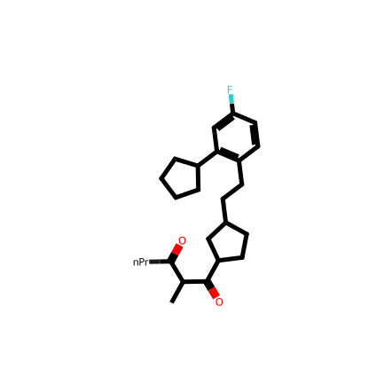 CCCC(=O)C(C)C(=O)C1CCC(CCc2ccc(F)cc2C2CCCC2)C1